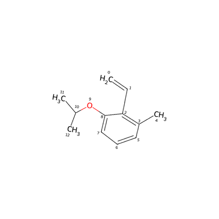 C=Cc1c(C)cccc1OC(C)C